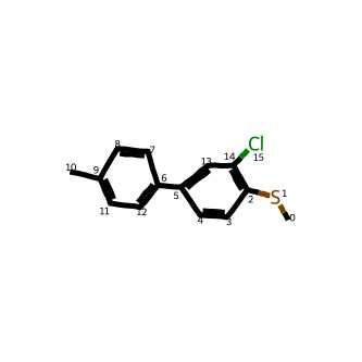 CSc1ccc(-c2ccc(C)cc2)cc1Cl